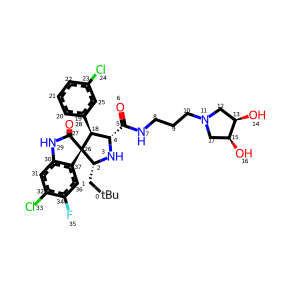 CC(C)(C)C[C@H]1N[C@@H](C(=O)NCCCN2C[C@@H](O)[C@@H](O)C2)[C@H](c2cccc(Cl)c2)[C@@]12C(=O)Nc1cc(Cl)c(F)cc12